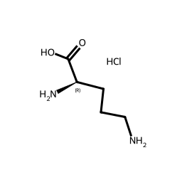 Cl.NCCC[C@@H](N)C(=O)O